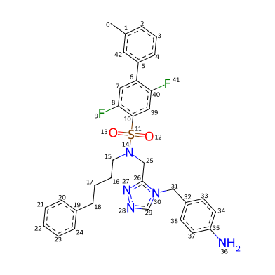 Cc1cccc(-c2cc(F)c(S(=O)(=O)N(CCCCc3ccccc3)Cc3nncn3Cc3ccc(N)cc3)cc2F)c1